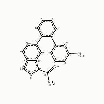 Cc1cccc(-c2ccccc2-c2ccc3[nH]nc(C(N)=O)c3c2)n1